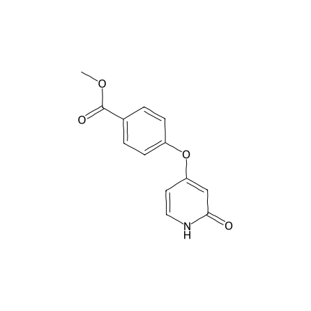 COC(=O)c1ccc(Oc2cc[nH]c(=O)c2)cc1